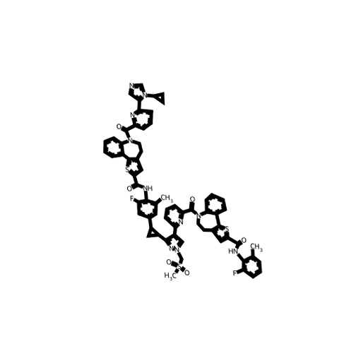 Cc1cccc(F)c1NC(=O)c1cc2c(s1)-c1ccccc1N(C(=O)c1cccc(-c3cn(CS(C)(=O)=O)nc3C3CC3c3cc(C)c(NC(=O)c4cc5c(s4)-c4ccccc4N(C(=O)c4cccc(-c6cncn6C6CC6)n4)CC5)c(F)c3)n1)CC2